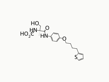 C[C@@](CO)(NC(=O)O)C(=O)Nc1ccc(OCCCCc2cccs2)cc1